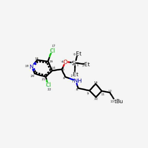 CC[Si](CC)(CC)OC(CNCC1CC(CC(C)(C)C)C1)c1c(Cl)cncc1Cl